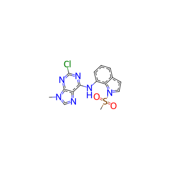 Cn1cnc2c(Nc3cccc4ccn(S(C)(=O)=O)c34)nc(Cl)nc21